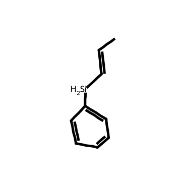 CC=C[SiH2]c1ccccc1